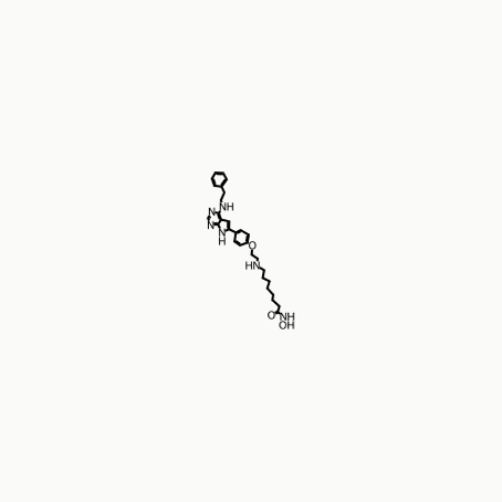 O=C(CCCCCCCNCCOc1ccc(-c2cc3c(NCCc4ccccc4)ncnc3[nH]2)cc1)NO